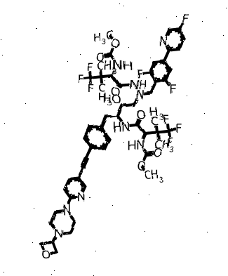 COC(=O)NC(C(=O)N[C@@H](Cc1ccc(C#Cc2ccc(N3CCN(C4COC4)CC3)nc2)cc1)[C@@H](O)CN(Cc1c(F)cc(-c2ccc(F)cn2)cc1F)NC(=O)[C@@H](NC(=O)OC)C(C)(C)C(F)(F)F)C(C)(C)C(F)(F)F